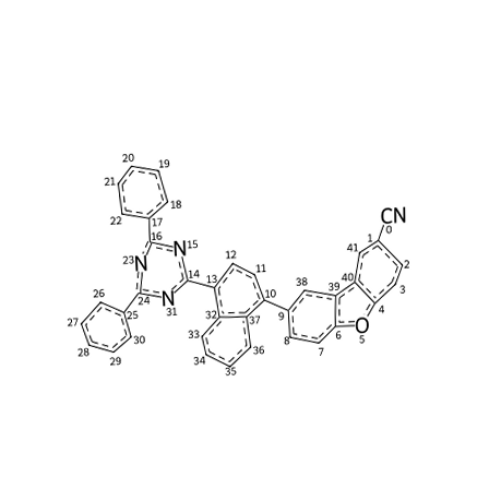 N#Cc1ccc2oc3ccc(-c4ccc(-c5nc(-c6ccccc6)nc(-c6ccccc6)n5)c5ccccc45)cc3c2c1